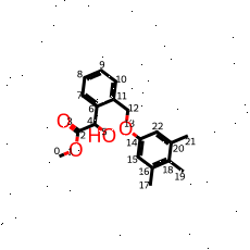 COC(=O)C(O)c1ccccc1COc1cc(C)c(C)c(C)c1